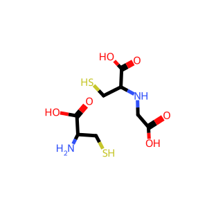 NC(CS)C(=O)O.O=C(O)CNC(CS)C(=O)O